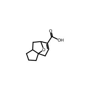 O=C(O)C1=CCC23CCCC2CC1O3